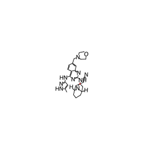 Cc1cc(Nc2nc(N[C@@H]3C[C@H]4CCC[C@@H](C3)N4CCC#N)nc3cc(CN4CCOCC4)ccc23)n[nH]1